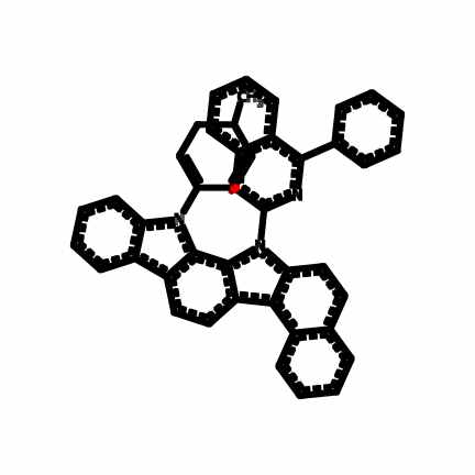 CC1C=CC(n2c3ccccc3c3ccc4c5c6ccccc6ccc5n(-c5nc(-c6ccccc6)c6ccccc6n5)c4c32)=CC1